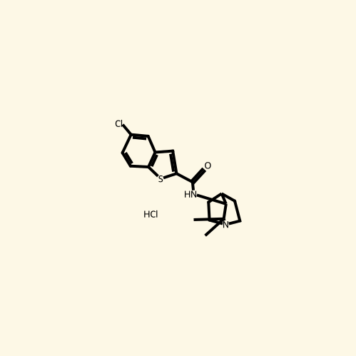 CC1(C)C(NC(=O)c2cc3cc(Cl)ccc3s2)C2CCN1CC2.Cl